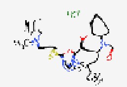 CCN(C)CCSc1nnc(C(=O)C(CC(C)C)N(C=O)C2CCCCC2)o1.Cl